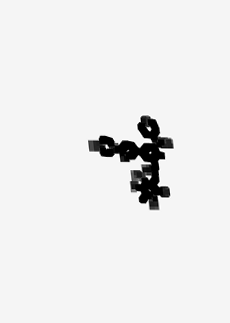 CCN(c1cc(-c2ccc(N3CCNCC3)nc2)cc(CNCc2c(C(C)C)c(F)c(C)[nH]c2=O)c1C)C1CCOCC1